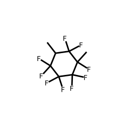 CC1C(F)(F)C(C)(F)C(F)(F)C(F)(F)C1(F)F